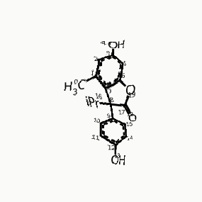 Cc1cc(O)cc2c1C(c1ccc(O)cc1)(C(C)C)C(=O)O2